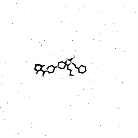 CCCCC1N(CCC2CCCCC2)C(=O)OC12CCN(C1CCN(C(=O)c3c(C)cccc3C)CC1)CC2